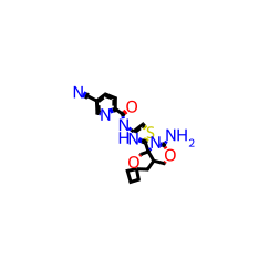 N#Cc1ccc(C(=O)Nc2csc(C34COC5(CCC5)CC3COC(N)=N4)n2)nc1